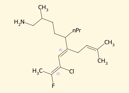 CCCC(CCC(C)CN)/C(=C/C(Cl)=C(\C)F)CC=C(C)C